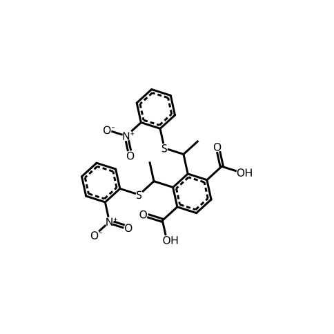 CC(Sc1ccccc1[N+](=O)[O-])c1c(C(=O)O)ccc(C(=O)O)c1C(C)Sc1ccccc1[N+](=O)[O-]